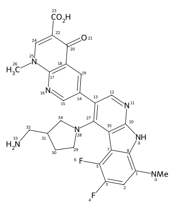 CNc1cc(F)c(F)c2c1[nH]c1ncc(-c3cnc4c(c3)c(=O)c(C(=O)O)cn4C)c(N3CCC(CN)C3)c12